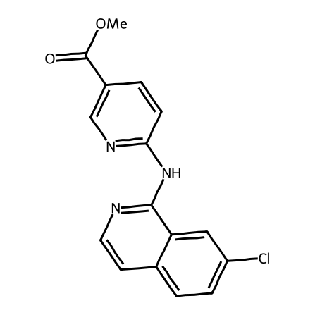 COC(=O)c1ccc(Nc2nccc3ccc(Cl)cc23)nc1